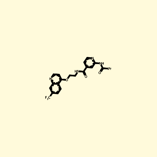 CC(C)C(=O)Nc1cc(C(=O)NCCOc2ccnc3cc(C(F)(F)F)ccc23)ccn1